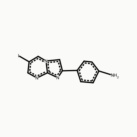 Nc1ccc(-c2cn3cc(I)cnc3n2)cc1